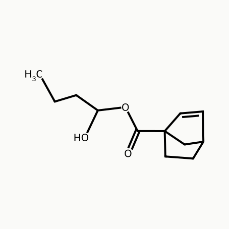 CCCC(O)OC(=O)C12C=CC(CC1)C2